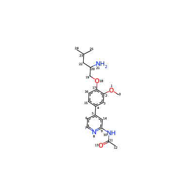 COc1cc(-c2ccnc(NC(C)=O)c2)ccc1OCC(N)CC(C)C